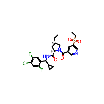 CC[C@@H]1C[C@H](C(=O)NC(c2cc(F)c(Cl)cc2F)C2CC2)N(C(=O)c2cncc(S(=O)(=O)CC)c2)C1